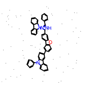 c1ccc(C2=[N+](n3c4ccccc4c4ccccc43)C(c3ccc4c(c3)oc3ccc(-c5ccc6c(c5)c5ccccc5n6-c5ccccc5)cc34)N2)cc1